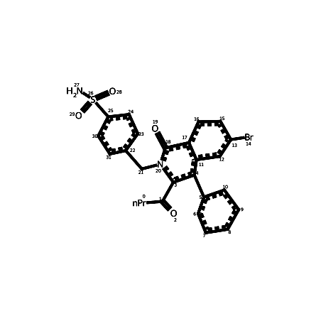 CCCC(=O)c1c(-c2ccccc2)c2cc(Br)ccc2c(=O)n1Cc1ccc(S(N)(=O)=O)cc1